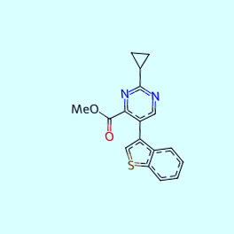 COC(=O)c1nc(C2CC2)ncc1-c1csc2ccccc12